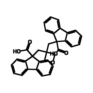 O=C(O)C1(CC2(CC3(C(=O)O)c4ccccc4-c4ccccc43)COC2)c2ccccc2-c2ccccc21